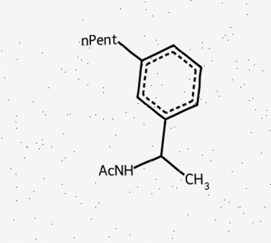 CCCCCc1cccc(C(C)NC(C)=O)c1